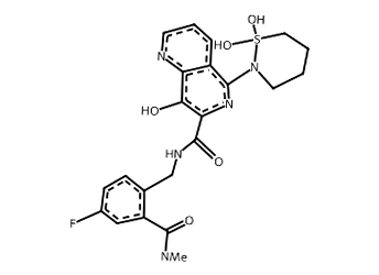 CNC(=O)c1cc(F)ccc1CNC(=O)c1nc(N2CCCCS2(O)O)c2cccnc2c1O